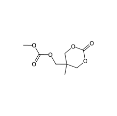 COC(=O)OCC1(C)COC(=O)OC1